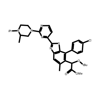 COC(=O)C(OC(C)(C)C)c1c(C)cc2nc(-c3ccnc(N4CCN(C(C)C)C(C)C4)n3)sc2c1-c1ccc(Cl)cc1